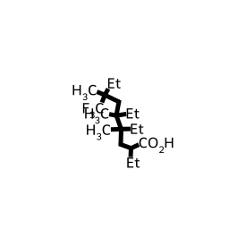 CCC(CC(C)(CC)C(C)(CC)CC(C)(CC)C(F)(F)F)C(=O)O